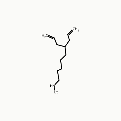 C=CCC(CC=C)CCCCCNCC